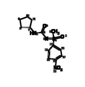 CS(=O)(=NC(=O)NC1CCCC1)c1ccc([N+](=O)[O-])cc1